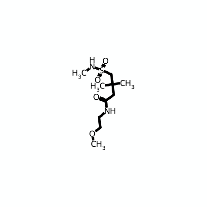 CNS(=O)(=O)CC(C)(C)CC(=O)NCCOC